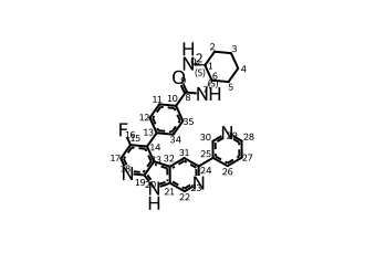 N[C@H]1CCCC[C@@H]1NC(=O)c1ccc(-c2c(F)cnc3[nH]c4cnc(-c5cccnc5)cc4c23)cc1